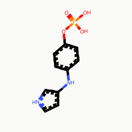 O=P(O)(O)Oc1ccc(Nc2cc[nH]c2)cc1